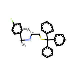 O=C(O)[C@H](CSC(c1ccccc1)(c1ccccc1)c1ccccc1)N[C@H](c1ccc(F)cc1)C(F)(F)F